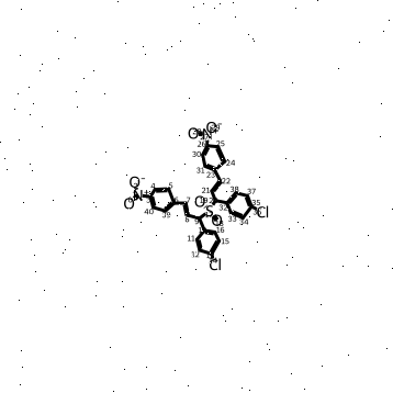 O=[N+]([O-])c1ccc(C=CC(c2ccc(Cl)cc2)S(=O)(=O)C(C=Cc2ccc([N+](=O)[O-])cc2)c2ccc(Cl)cc2)cc1